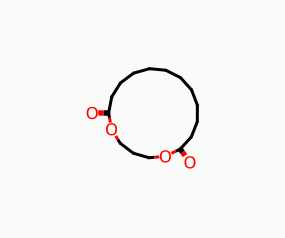 O=C1CCCCCCCCCCC(=O)OCCCO1